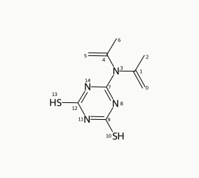 C=C(C)N(C(=C)C)c1nc(S)nc(S)n1